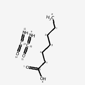 CCCCCCC(=O)O.N=C=O.N=C=O